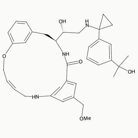 COCc1cc2cc(c1)C(=O)N[C@H]([C@H](O)CNC1(c3cccc(C(C)(C)O)c3)CC1)Cc1cccc(c1)OC/C=C\CN2